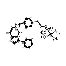 CC(C)(C)[Si](C)(C)OCCc1ccc(NN2C=Nc3[nH]cc(-c4ccccc4)c3C2)cc1